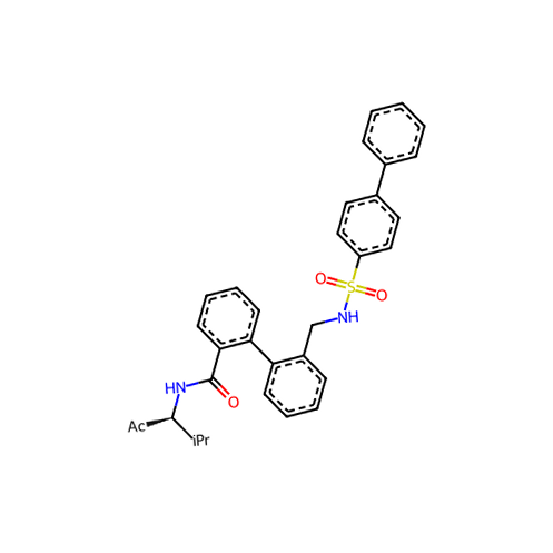 CC(=O)[C@@H](NC(=O)c1ccccc1-c1ccccc1CNS(=O)(=O)c1ccc(-c2ccccc2)cc1)C(C)C